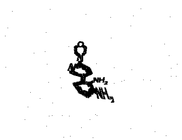 Nc1cccc(-c2ccc(N3CCOCC3)nc2)c1N